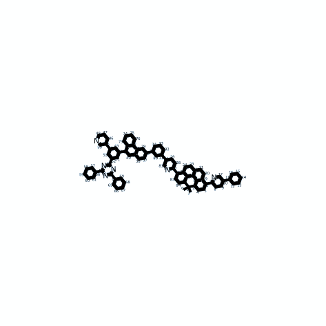 CC1(C)c2ccc(-c3ccc(-c4ccccc4)cn3)c3ccc4ccc5c(-c6ccc(-c7cccc(-c8ccc9cc(-c%10cc(-c%11cccnc%11)cc(-c%11nc(-c%12ccccc%12)nc(-c%12ccccc%12)n%11)c%10)c%10ccccc%10c9c8)c7)cn6)ccc1c5c4c23